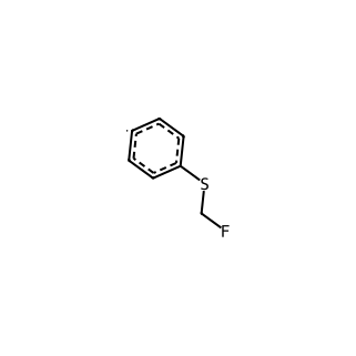 FCSc1cc[c]cc1